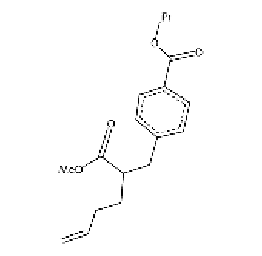 C=CCCC(Cc1ccc(C(=O)OC(C)C)cc1)C(=O)OC